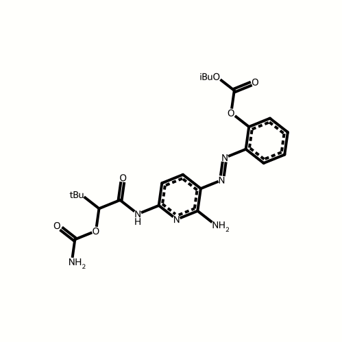 CC(C)COC(=O)Oc1ccccc1N=Nc1ccc(NC(=O)C(OC(N)=O)C(C)(C)C)nc1N